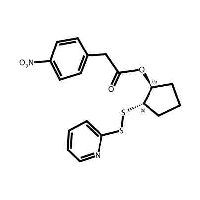 O=C(Cc1ccc([N+](=O)[O-])cc1)O[C@H]1CCC[C@@H]1SSc1ccccn1